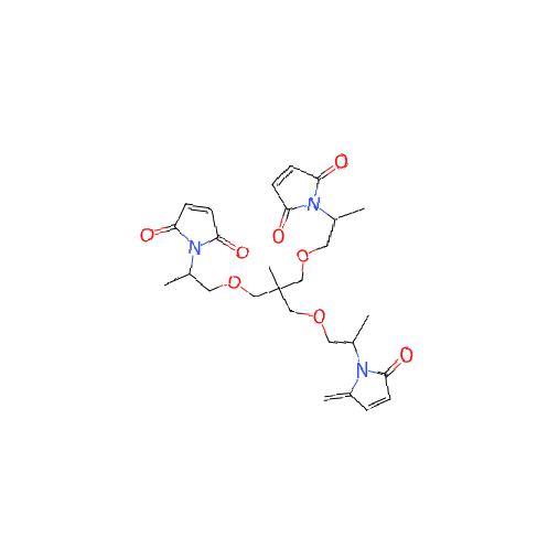 C=C1C=CC(=O)N1C(C)COCC(C)(COCC(C)N1C(=O)C=CC1=O)COCC(C)N1C(=O)C=CC1=O